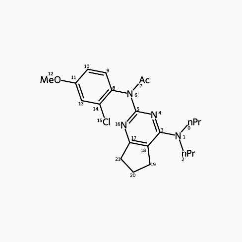 CCCN(CCC)c1nc(N(C(C)=O)c2ccc(OC)cc2Cl)nc2c1CCC2